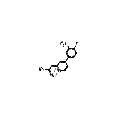 CC(C)C(=N)/C=C1/C=C(c2ccc(F)c(C(F)(F)F)c2)C=CN1